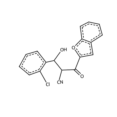 N#CC(C(=O)c1cc2ccccc2o1)C(O)c1ccccc1Cl